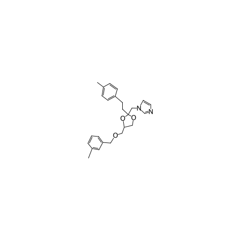 Cc1ccc(CCC2(Cn3ccnc3)OCC(COCc3cccc(C)c3)O2)cc1